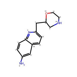 Nc1ccc2nc(CC3CNCCO3)ccc2c1